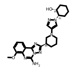 COc1cccc2c1nc(N)n1nc([C@@H]3CCCN(c4cnn([C@H]5CCCC[C@H]5O)c4)C3)nc21